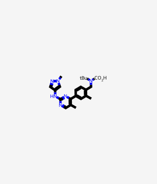 Cc1cc(-c2nc(Nc3cnn(C)c3)ncc2C)ccc1CN(C(=O)O)C(C)(C)C